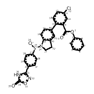 O=C(Oc1ccccc1)c1cc(Cl)ccc1-c1ccc2c(c1)CCN2[S+]([O-])c1ccc(-c2noc(=O)[nH]2)cc1